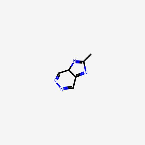 CC1=NC2C=NN=CC2=N1